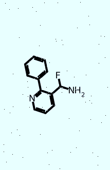 NC(F)c1cccnc1-c1ccccc1